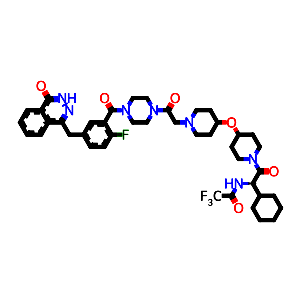 O=C(CN1CCC(OC2CCN(C(=O)[C@H](NC(=O)C(F)(F)F)C3CCCCC3)CC2)CC1)N1CCN(C(=O)c2cc(Cc3n[nH]c(=O)c4ccccc34)ccc2F)CC1